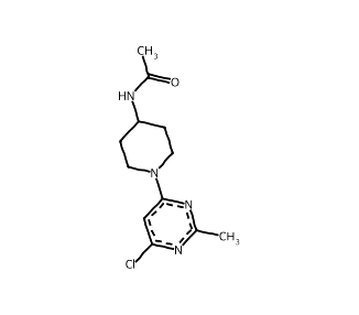 CC(=O)NC1CCN(c2cc(Cl)nc(C)n2)CC1